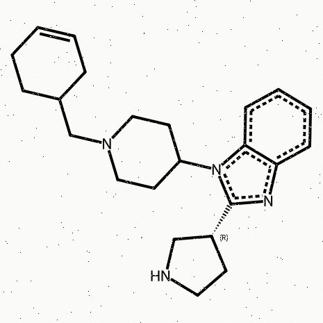 C1=CCC(CN2CCC(n3c([C@@H]4CCNC4)nc4ccccc43)CC2)CC1